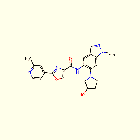 Cc1cc(-c2nc(C(=O)Nc3cc4cnn(C)c4cc3N3CCC(O)C3)co2)ccn1